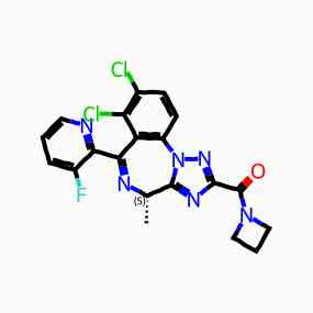 C[C@@H]1N=C(c2ncccc2F)c2c(ccc(Cl)c2Cl)-n2nc(C(=O)N3CCC3)nc21